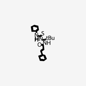 CC(C)(C)C(NC(=O)C=Cc1ccccc1)NC(=S)Nc1ccccc1